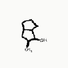 C=C1CC2CCCC2C1O